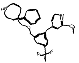 COc1cc(-c2cc(COCC3(c4ccccc4)CCNCC3)cc(C(C)(F)F)c2)ccn1